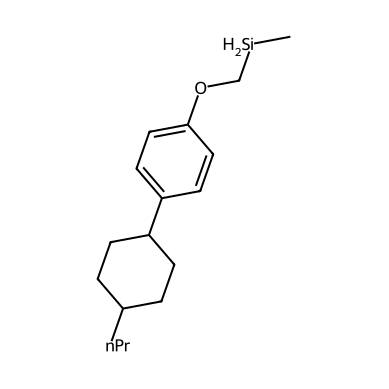 CCCC1CCC(c2ccc(OC[SiH2]C)cc2)CC1